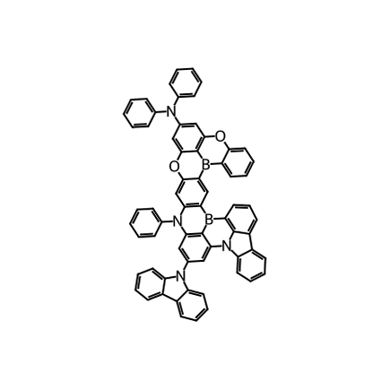 c1ccc(N(c2ccccc2)c2cc3c4c(c2)Oc2cc5c(cc2B4c2ccccc2O3)B2c3c(cc(-n4c6ccccc6c6ccccc64)cc3-n3c4ccccc4c4cccc2c43)N5c2ccccc2)cc1